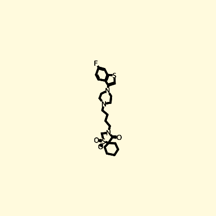 O=C1N(CCCCN2CCN(c3csc4cc(F)ccc34)CC2)CS(=O)(=O)C12CCCCC2